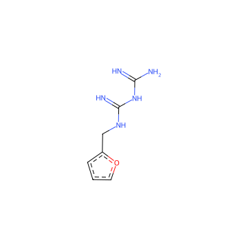 N=C(N)NC(=N)NCc1ccco1